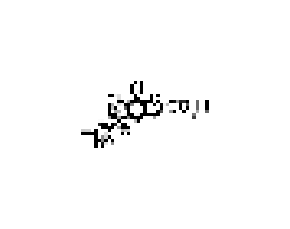 Cc1nnc(S(=O)(=O)c2cc3c(c(Cl)c2Cl)OC(C(=O)O)C3)s1